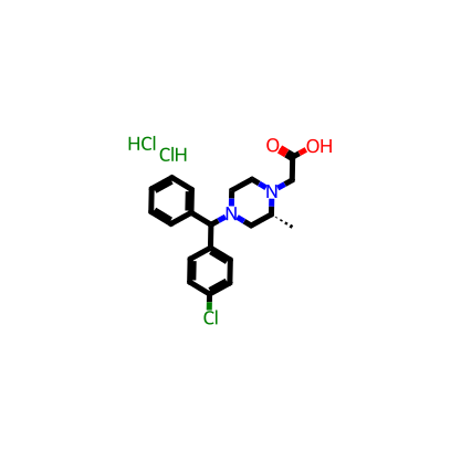 C[C@@H]1CN(C(c2ccccc2)c2ccc(Cl)cc2)CCN1CC(=O)O.Cl.Cl